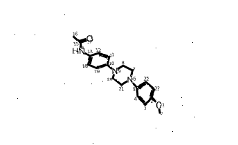 COc1ccc(N2CCN(c3ccc(NC(C)=O)cc3)CC2)cc1